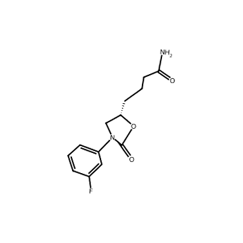 NC(=O)CCC[C@H]1CN(c2cccc(F)c2)C(=O)O1